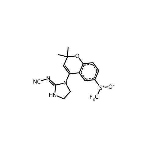 CC1(C)C=C(N2CCNC2=NC#N)c2cc([S+]([O-])C(F)(F)F)ccc2O1